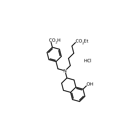 CCOC(=O)CCCCN(Cc1ccc(C(=O)O)cc1)C1CCc2cccc(O)c2C1.Cl